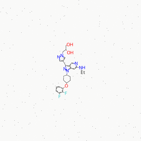 CCNc1cc2c(cn1)c(-c1cnn(CC(O)CO)c1)nn2C1CCC(Oc2cccc(F)c2F)CC1